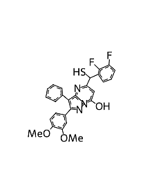 COc1ccc(-c2nn3c(O)cc(C(S)c4cccc(F)c4F)nc3c2-c2ccccc2)cc1OC